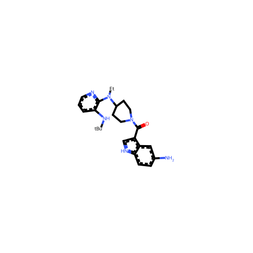 CCN(c1ncccc1NC(C)(C)C)C1CCN(C(=O)c2c[nH]c3ccc(N)cc23)CC1